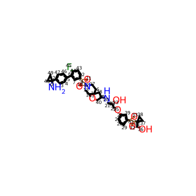 NC1(c2ccc(-c3cc(S(=O)(=O)N4CCC5(CC4)C[C@@H](NC[C@H](O)COc4cccc(S(=O)(=O)C6(CO)CC6)c4)CO5)ccc3F)cc2)CC1